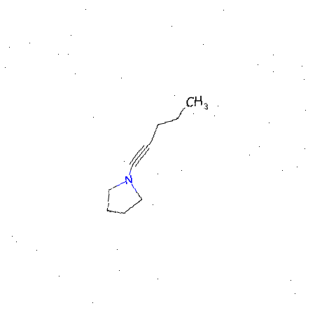 CCCC#CN1CCCC1